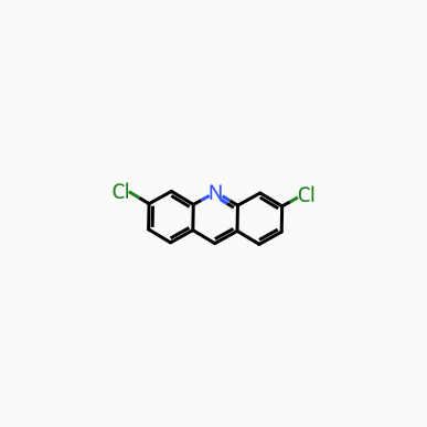 Clc1ccc2cc3ccc(Cl)cc3nc2c1